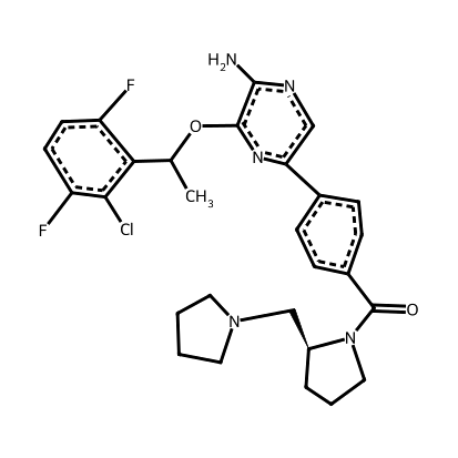 CC(Oc1nc(-c2ccc(C(=O)N3CCC[C@H]3CN3CCCC3)cc2)cnc1N)c1c(F)ccc(F)c1Cl